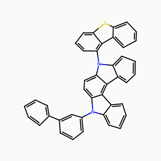 c1ccc(-c2cccc(-n3c4ccccc4c4c5c6ccccc6n(-c6cccc7sc8ccccc8c67)c5ccc43)c2)cc1